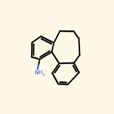 Nc1cccc2c1-c1ccccc1CCCC2